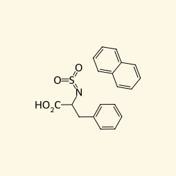 O=C(O)C(Cc1ccccc1)N=S(=O)=O.c1ccc2ccccc2c1